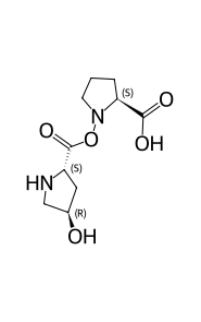 O=C(ON1CCC[C@H]1C(=O)O)[C@@H]1C[C@@H](O)CN1